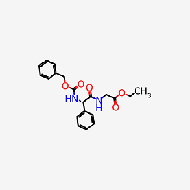 CCOC(=O)CNC(=O)[C@@H](NC(=O)OCc1ccccc1)c1ccccc1